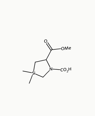 COC(=O)C1C[Si](C)(C)CN1C(=O)O